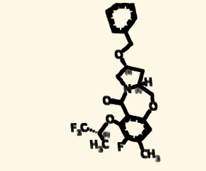 Cc1cc2c(c(O[C@H](C)C(F)(F)F)c1F)C(=O)N1C[C@@H](OCc3ccccc3)C[C@@H]1CO2